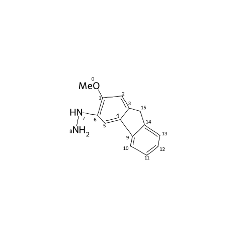 COc1cc2c(cc1NN)-c1ccccc1C2